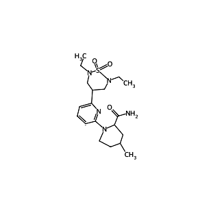 CCN1CC(c2cc[c]c(N3CCC(C)CC3C(N)=O)n2)CN(CC)S1(=O)=O